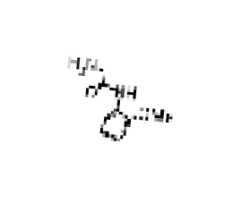 COc1ccccc1NC(=O)CN